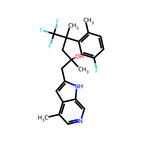 Cc1ccc(F)cc1C(C)(CC(C)(O)Cc1cc2c(C)cncc2[nH]1)C(F)(F)F